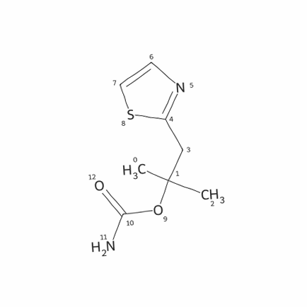 CC(C)(Cc1nccs1)OC(N)=O